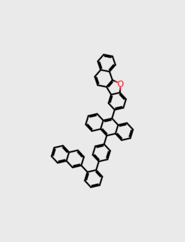 c1ccc(-c2ccc3ccccc3c2)c(-c2ccc(-c3c4ccccc4c(-c4ccc5oc6c7ccccc7ccc6c5c4)c4ccccc34)cc2)c1